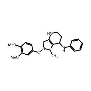 COc1ccc(ON2CC3=C(C(Nc4ccccc4)CCN3)N2C)cc1OC